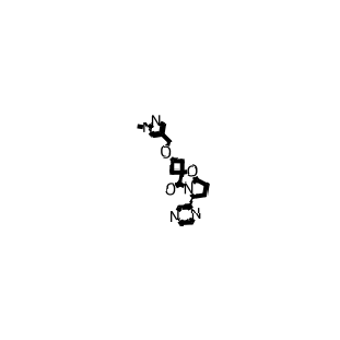 Cn1cc(COC2CC3(C2)OC2CC[C@@H](c4cnccn4)N2C3=O)cn1